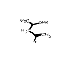 C=C(CC)[SiH2]C(OC)OC